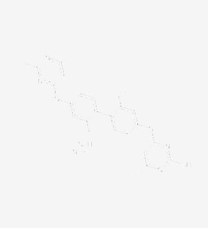 O=S(=O)(O)c1cc(Nc2cc(S)nc(S)n2)ccc1-c1ccc(Nc2cc(S)nc(S)n2)cc1S(=O)(=O)O.[NaH].[NaH]